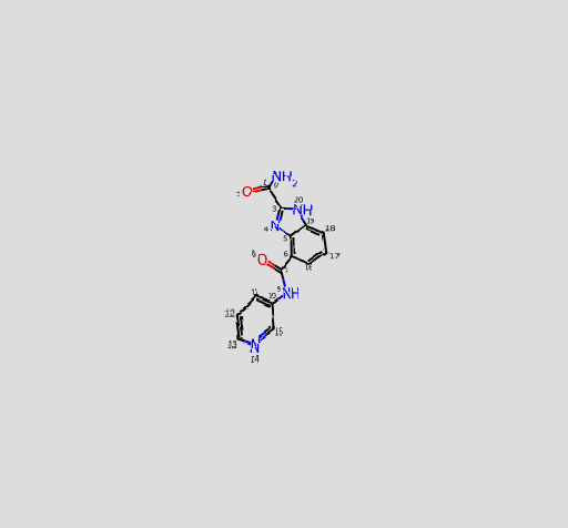 NC(=O)c1nc2c(C(=O)Nc3cccnc3)cccc2[nH]1